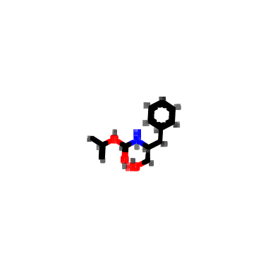 C=C(C)OC(=O)N[C@H](CO)Cc1ccccc1